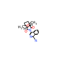 CC12CCC(C)(O1)[C@H]1C(=O)N(c3cnc(C#N)c4ccccc34)C(=O)[C@H]12